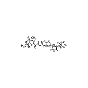 Cc1cc(C(=O)NCc2cc3nc(-c4cccc(N5CC6CCC(C5)O6)n4)ccc3cn2)cc(S(C)(=O)=O)c1C